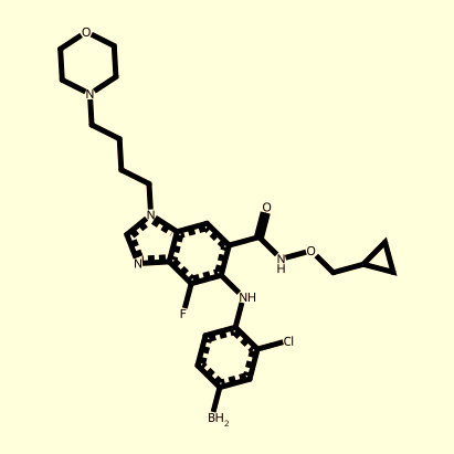 Bc1ccc(Nc2c(C(=O)NOCC3CC3)cc3c(ncn3CCCCN3CCOCC3)c2F)c(Cl)c1